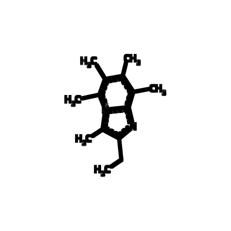 CCc1nc2c(C)c(C)c(C)c(C)n2c1C